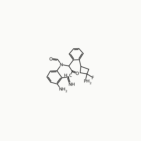 CC(=O)C(c1ccccc1C1CC(F)(P)C1)N(C=O)c1cccc(N)c1C=N